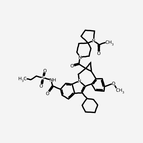 CCCS(=O)(=O)NC(=O)c1ccc2c(C3CCCCC3)c3n(c2c1)CC1(C(=O)N2CCC4(CCCN4C(C)=O)CC2)CC1c1cc(OC)ccc1-3